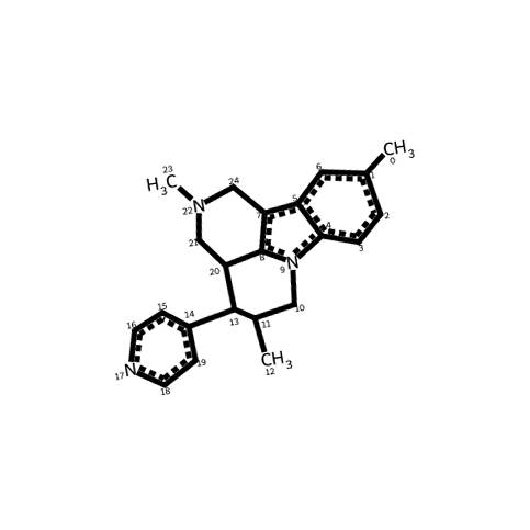 Cc1ccc2c(c1)c1c3n2CC(C)C(c2ccncc2)C3CN(C)C1